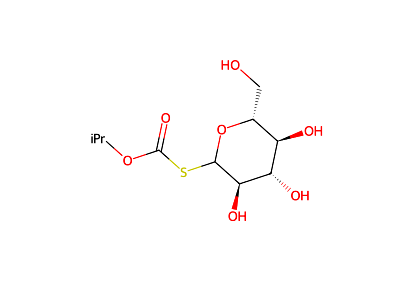 CC(C)OC(=O)SC1O[C@H](CO)[C@@H](O)[C@H](O)[C@H]1O